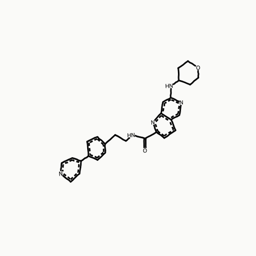 O=C(NCCc1ccc(-c2ccncc2)cc1)c1ccc2cnc(NC3CCOCC3)cc2n1